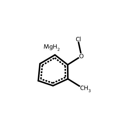 Cc1ccccc1OCl.[MgH2]